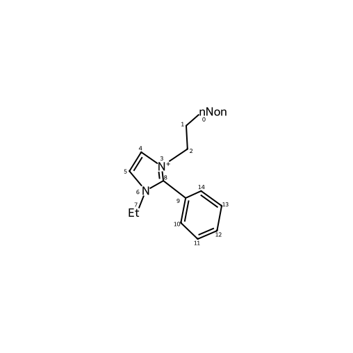 CCCCCCCCCCC[n+]1ccn(CC)c1-c1ccccc1